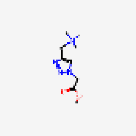 COC(=O)Cn1cc(C[N+](C)(C)C)nn1